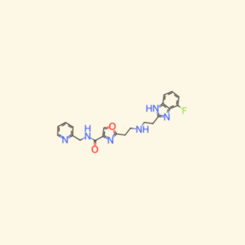 O=C(NCc1ccccn1)c1coc(CCNCCc2nc3c(F)cccc3[nH]2)n1